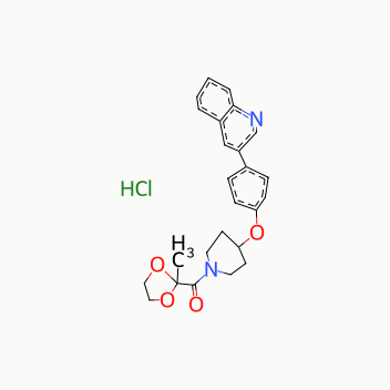 CC1(C(=O)N2CCC(Oc3ccc(-c4cnc5ccccc5c4)cc3)CC2)OCCO1.Cl